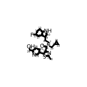 Cc1nc(C(=O)N(CCc2c[nH]c3ccc(F)cc23)CC2CC2)c(-c2ccc(CO)nc2)s1